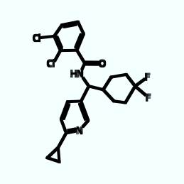 O=C(NC(c1ccc(C2CC2)nc1)C1CCC(F)(F)CC1)c1cccc(Cl)c1Cl